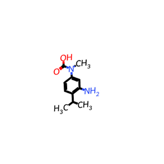 CC(C)c1ccc(N(C)C(=O)O)cc1N